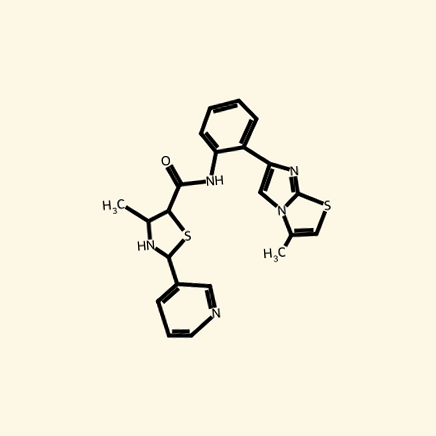 Cc1csc2nc(-c3ccccc3NC(=O)C3SC(c4cccnc4)NC3C)cn12